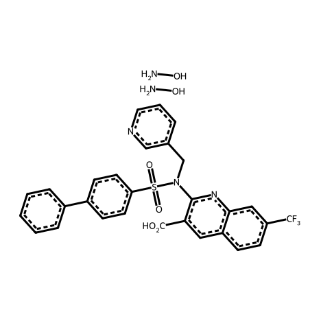 NO.NO.O=C(O)c1cc2ccc(C(F)(F)F)cc2nc1N(Cc1cccnc1)S(=O)(=O)c1ccc(-c2ccccc2)cc1